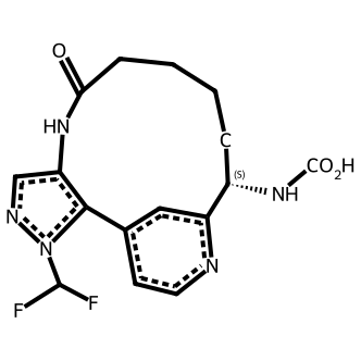 O=C(O)N[C@H]1CCCCC(=O)Nc2cnn(C(F)F)c2-c2ccnc1c2